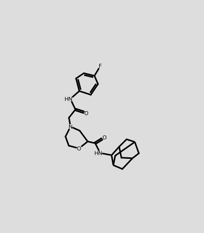 O=C(CN1CCOC(C(=O)NC2C3CC4CC(C3)CC2C4)C1)Nc1ccc(F)cc1